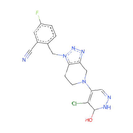 N#Cc1cc(F)ccc1Cn1nnc2c1CCN(C1=C(Cl)C(O)NN=C1)C2